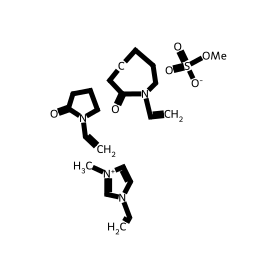 C=CN1CCCC1=O.C=CN1CCCCCC1=O.C=Cn1cc[n+](C)c1.COS(=O)(=O)[O-]